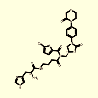 N[C@@H](Cc1c[nH]cn1)C(=O)NCCCC(=O)N(C[C@H]1CN(c2ccc(N3CCOCC3=O)cc2)C(=O)O1)C(=O)c1ccc(Cl)s1